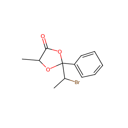 CC1OC(c2ccccc2)(C(C)Br)OC1=O